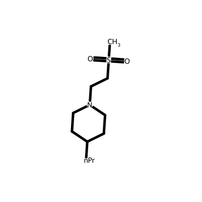 [CH2]CCC1CCN(CCS(C)(=O)=O)CC1